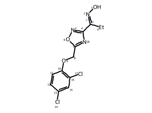 CC/C(=N\O)c1noc(COc2ccc(Cl)cc2Cl)n1